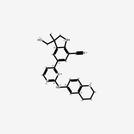 CC1(CO)CNc2c(C#N)cc(-c3ccnc(Nc4ccc5c(c4)CCCO5)n3)cc21